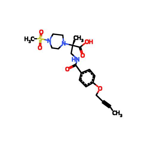 CC#CCOc1ccc(C(=O)NC[C@@](C)(C(=O)O)N2CCN(S(C)(=O)=O)CC2)cc1